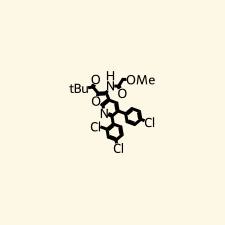 COCC(=O)Nc1c(C(=O)C(C)(C)C)oc2nc(-c3ccc(Cl)cc3Cl)c(-c3ccc(Cl)cc3)cc12